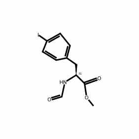 COC(=O)[C@H](Cc1ccc(I)cc1)NC=O